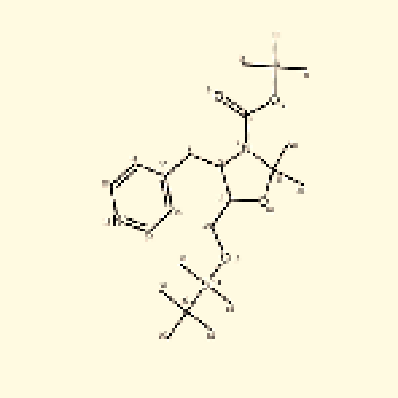 CC(C)(C)OC(=O)N1C(Cc2ccncc2)C(CO[Si](C)(C)C(C)(C)C)OC1(C)C